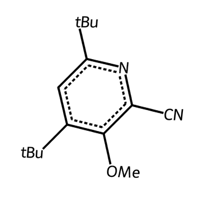 COc1c(C(C)(C)C)cc(C(C)(C)C)nc1C#N